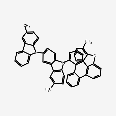 Cc1ccc2c(c1)c1ccccc1n2-c1ccc2c(c1)c1cc(C)ccc1n2-c1ccccc1-c1ccccc1-c1cccc2oc3c(C)cccc3c12